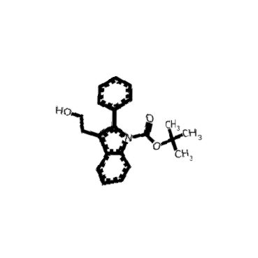 CC(C)(C)OC(=O)n1c(-c2ccccc2)c(CCO)c2ccccc21